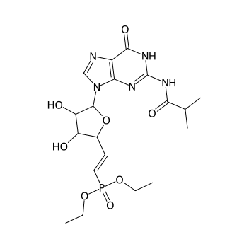 CCOP(=O)(C=CC1OC(n2cnc3c(=O)[nH]c(NC(=O)C(C)C)nc32)C(O)C1O)OCC